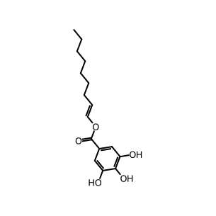 CCCCCCC/C=C/OC(=O)c1cc(O)c(O)c(O)c1